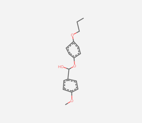 CCCOc1ccc(OC(O)c2ccc(OC)cc2)cc1